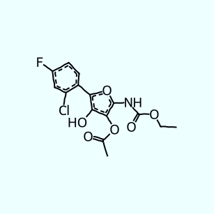 CCOC(=O)Nc1oc(-c2ccc(F)cc2Cl)c(O)c1OC(C)=O